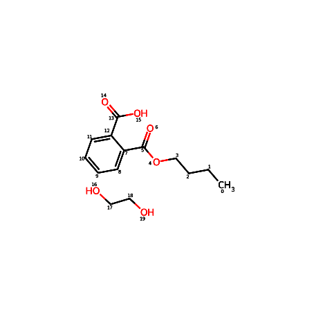 CCCCOC(=O)c1ccccc1C(=O)O.OCCO